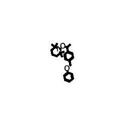 CC(ON1C(C)(C)CCCC1(C)C)c1ccc(COc2ccccc2)cc1